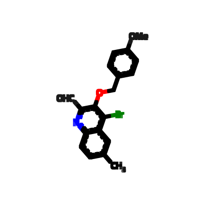 COc1ccc(COc2c(C=O)nc3ccc(C)cc3c2Br)cc1